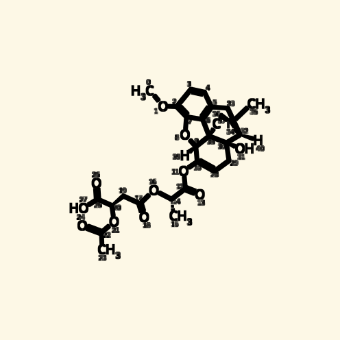 COc1ccc2c3c1O[C@H]1C(OC(=O)[C@H](C)OC(=O)C[C@@H](OC(C)=O)C(=O)O)=CC[C@@]4(O)[C@@H](C2)N(C)CC[C@]314